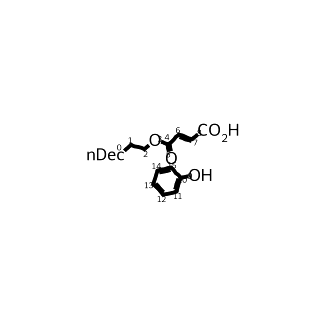 CCCCCCCCCCCCOC(=O)/C=C/C(=O)O.Oc1ccccc1